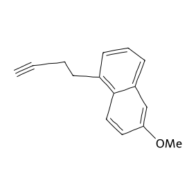 C#CCCc1cccc2cc(OC)ccc12